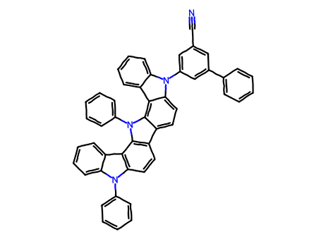 N#Cc1cc(-c2ccccc2)cc(-n2c3ccccc3c3c2ccc2c4ccc5c(c6ccccc6n5-c5ccccc5)c4n(-c4ccccc4)c23)c1